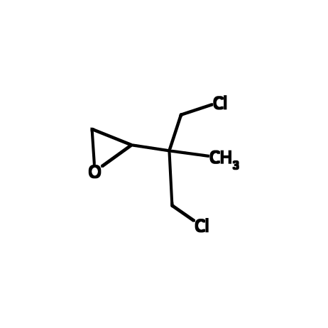 CC(CCl)(CCl)C1CO1